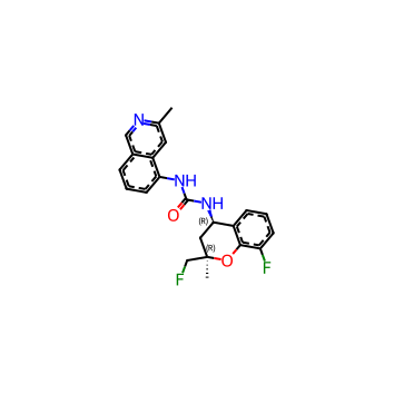 Cc1cc2c(NC(=O)N[C@@H]3C[C@](C)(CF)Oc4c(F)cccc43)cccc2cn1